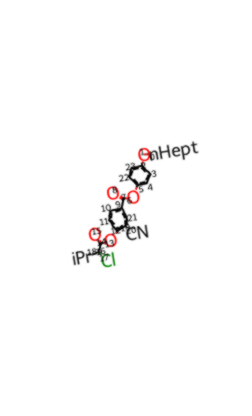 CCCCCCCOc1ccc(OC(=O)c2ccc(OC(=O)C(Cl)C(C)C)c(C#N)c2)cc1